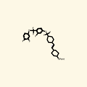 CCCCCC1CCC(/C=C/C2CCC(C(F)(F)Oc3ccc(C(F)(F)Oc4ccc(F)c(F)c4)c(F)c3)CC2)CC1